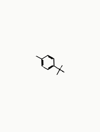 Clc1[c]cc(C(Cl)(Cl)Cl)cc1